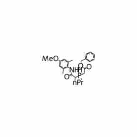 CCCC(C(=O)Nc1c(C)cc(OC)cc1C)[PH](C)(C)CC(=O)OCc1ccccc1